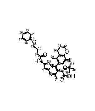 Cc1nc2cc(NC(=O)CCCOc3ccccc3)nn2c(-c2cc(F)c3c(c2C)CCCO3)c1[C@H](OC(C)(C)C)C(=O)O